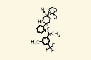 Cc1cc([C@@H](C)OC[C@@]2(c3ccccc3)CC[C@](C#N)(N3CCOC3=O)CN2)cc(C(F)(F)F)c1